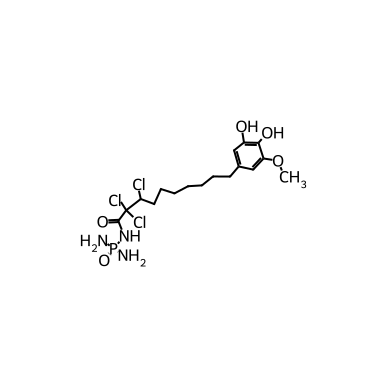 COc1cc(CCCCCCCC(Cl)C(Cl)(Cl)C(=O)NP(N)(N)=O)cc(O)c1O